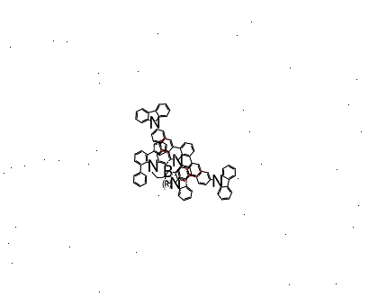 C[C@H](C1CCN(c2c(-c3ccccc3)cccc2-c2ccccc2)c2cc(-c3ccc(-n4c5ccccc5c5ccccc54)cc3)cc3c2B1c1ccc(-c2ccc(-n4c5ccccc5c5ccccc54)cc2)cc1N3c1c(-c2ccccc2)cccc1-c1ccccc1)n1c2ccccc2c2ccccc21